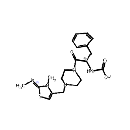 C/N=c1\scc(CN2CCN(C(=O)[C@@H](Cc3ccccc3)NC(=O)O)CC2)n1C